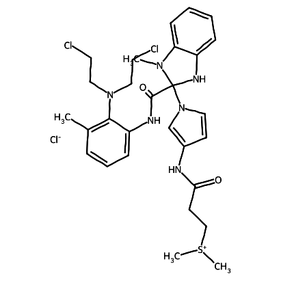 Cc1cccc(NC(=O)C2(n3ccc(NC(=O)CC[S+](C)C)c3)Nc3ccccc3N2C)c1N(CCCl)CCCl.[Cl-]